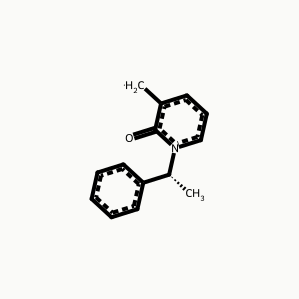 [CH2]c1cccn([C@H](C)c2ccccc2)c1=O